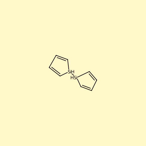 C1=C[SiH]([SiH]2C=CC=C2)C=C1